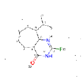 CC(C)C1CCCCC2C(=O)NC(F)=NC21